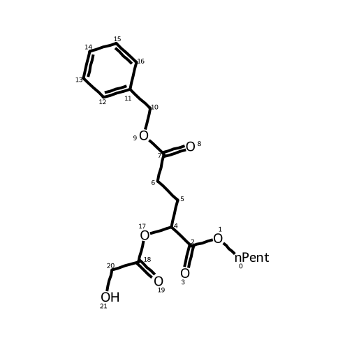 CCCCCOC(=O)C(CCC(=O)OCc1ccccc1)OC(=O)CO